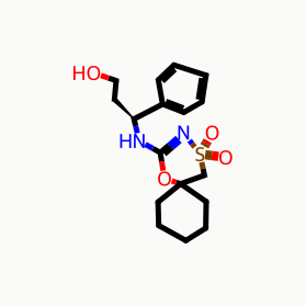 O=S1(=O)CC2(CCCCC2)OC(N[C@@H](CCO)c2ccccc2)=N1